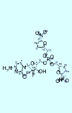 Nc1ccn(C2OC(COP(=O)(OCc3ccc([N+](=O)[O-])o3)OCc3ccc([N+](=O)[O-])o3)C(O)C2(F)F)c(=O)n1